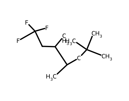 CC(CC(C)(C)C)C(C)CC(F)(F)F